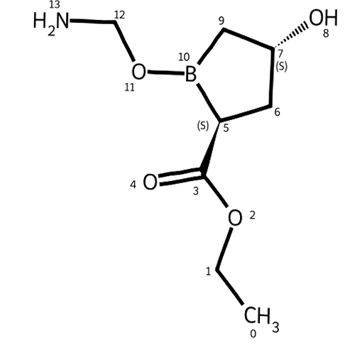 CCOC(=O)[C@@H]1C[C@@H](O)CB1OCN